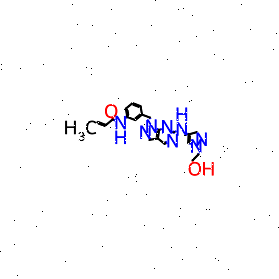 CC=CC(=O)Nc1cccc(Cn2ncc3cnc(Nc4cnn(CCO)c4)nc32)c1